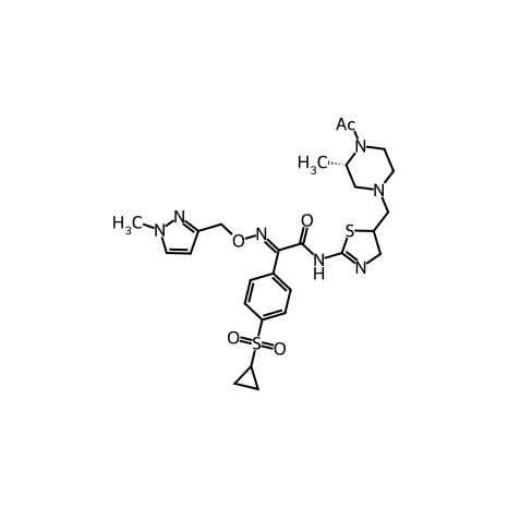 CC(=O)N1CCN(CC2CN=C(NC(=O)/C(=N/OCc3ccn(C)n3)c3ccc(S(=O)(=O)C4CC4)cc3)S2)C[C@@H]1C